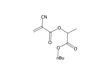 C=C(C#N)C(=O)OC(C)C(=O)OCCCC